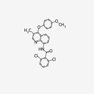 COc1ccc(Oc2c(C)cnc3c(NC(=O)c4c(Cl)cccc4Cl)cccc23)cc1